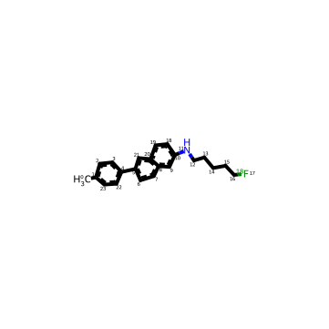 Cc1ccc(-c2ccc3cc(NCCCCC[18F])ccc3c2)cc1